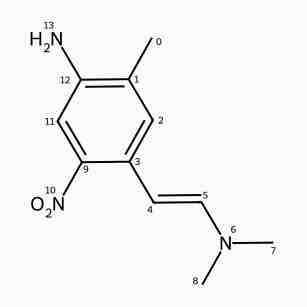 Cc1cc(/C=C/N(C)C)c([N+](=O)[O-])cc1N